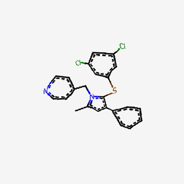 Cc1cc(-c2ccccc2)c(Sc2cc(Cl)cc(Cl)c2)n1Cc1ccncc1